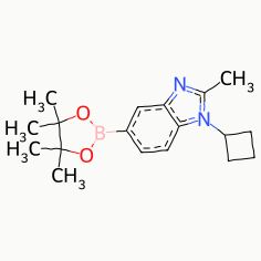 Cc1nc2cc(B3OC(C)(C)C(C)(C)O3)ccc2n1C1CCC1